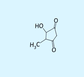 CC1C(=O)CC(=O)C1O